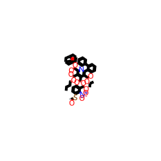 CCCCOC(=O)c1c(C(=O)OC23CC4CC(CC(C4)C2)C3)nc(-c2ccccc2-c2ccccc2)c(C(=O)OC(C)C)c1C(=O)OC(=O)c1cccc(S[C]=O)c1[N+](=O)[O-]